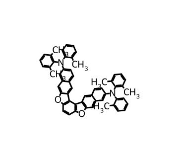 Cc1ccccc1N(c1ccc2cc3c(cc2c1)oc1ccc2oc4cc5cc(N(c6ccccc6C)c6c(C)cccc6C)ccc5cc4c2c13)c1c(C)cccc1C